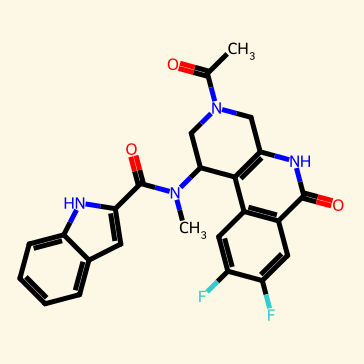 CC(=O)N1Cc2[nH]c(=O)c3cc(F)c(F)cc3c2C(N(C)C(=O)c2cc3ccccc3[nH]2)C1